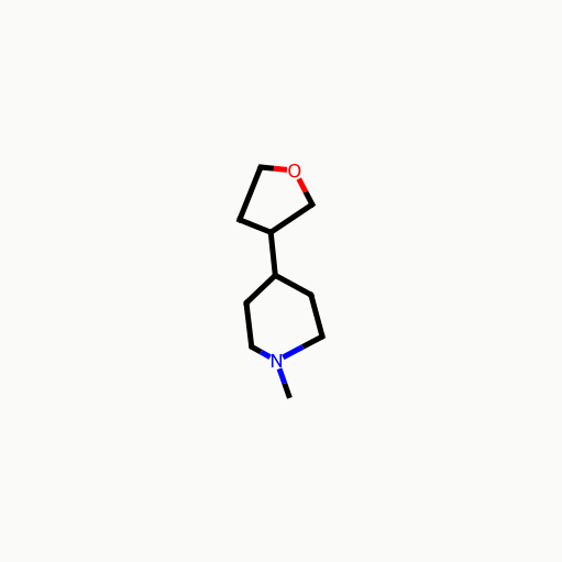 CN1CCC(C2CCOC2)CC1